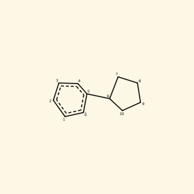 [c]1ccccc1C1CCCC1